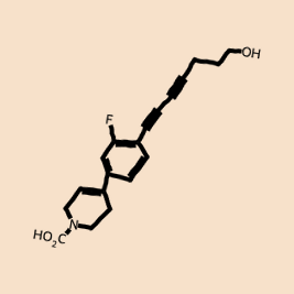 O=C(O)N1CC=C(c2ccc(C#CC#CCCCO)c(F)c2)CC1